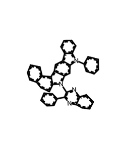 c1ccc(-c2nc3ccccc3nc2-n2c3cc4c(cc3c3c5ccccc5ccc32)c2ccccc2n4-c2ccccc2)cc1